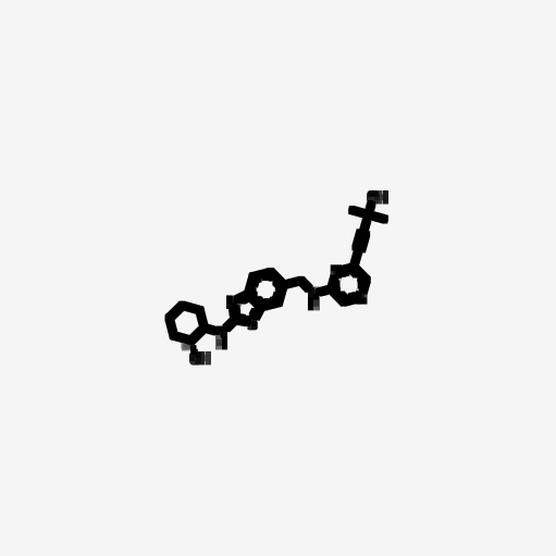 CC(C)(O)C#Cc1cncc(NCc2ccc3nc(NC4CCCC[C@H]4O)sc3c2)n1